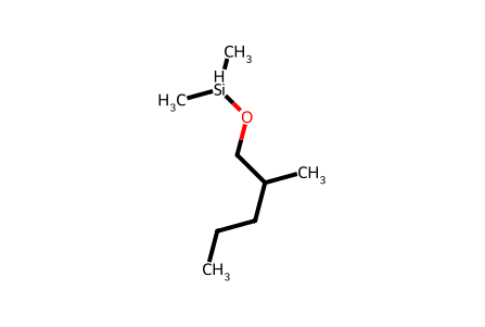 CCCC(C)CO[SiH](C)C